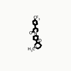 CN1CCCc2oc3cc(-n4ccc(-c5ccc(C(F)(F)F)cc5)cc4=O)ccc3c2C1